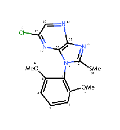 COc1cccc(OC)c1-n1c(SC)nc2ncc(Cl)nc21